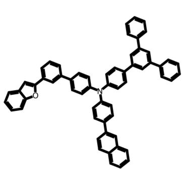 c1ccc(-c2cc(-c3ccccc3)cc(-c3ccc(N(c4ccc(-c5cccc(-c6cc7ccccc7o6)c5)cc4)c4ccc(-c5ccc6ccccc6c5)cc4)cc3)c2)cc1